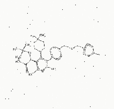 Cc1nc(C)c(C(OC(C)(C)C)C(=O)O)c(N2CCC(C)(C)CC2)c1-c1ccc(CSCc2ccc(F)cc2)cc1